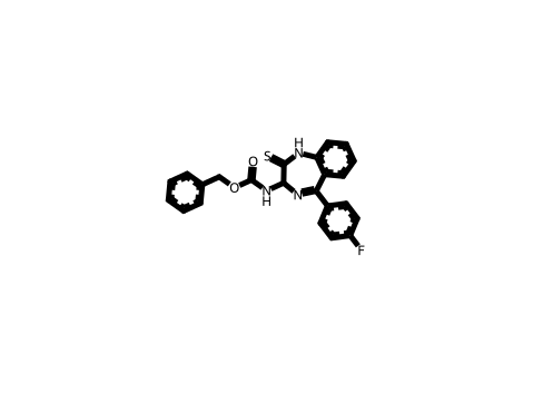 O=C(NC1N=C(c2ccc(F)cc2)c2ccccc2NC1=S)OCc1ccccc1